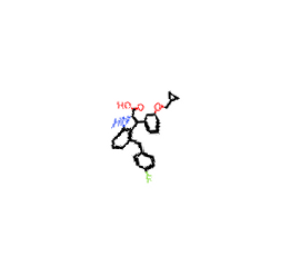 O=C(O)c1[nH]c2cccc(Cc3ccc(F)cc3)c2c1-c1cccc(OCC2CC2)c1